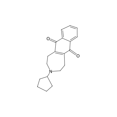 O=C1C2=C(CCN(C3CCCC3)CC2)C(=O)c2ccccc21